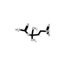 CC(C)(CC[SH](=O)=O)OC(N)=O